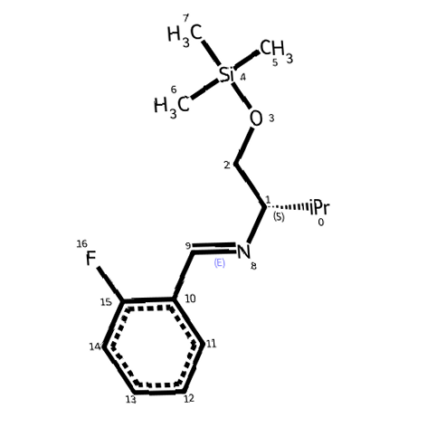 CC(C)[C@@H](CO[Si](C)(C)C)/N=C/c1ccccc1F